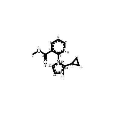 COC(=O)c1cccnc1-n1ccnc1C1CC1